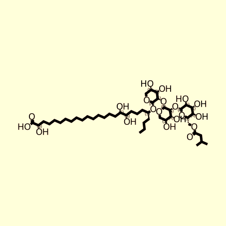 CCCC[C@@H](CCC[C@H](O)[C@@H](O)CCCCCCCCCCCCCC[C@H](O)C(=O)O)O[C@H]1OC[C@H](O)[C@@H](O)[C@@H]1O[C@H]1OC[C@H](O)[C@@H](O)[C@@H]1O[C@H]1O[C@@H](COC(=O)CC(C)C)[C@H](O)[C@@H](O)[C@@H]1O